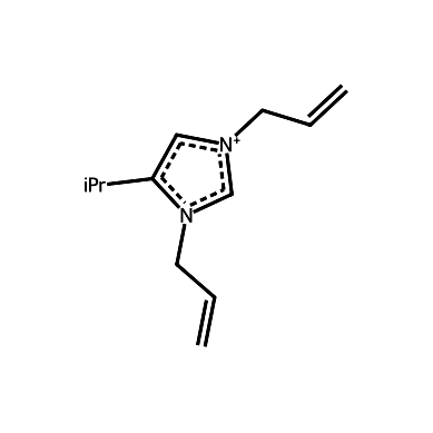 C=CCn1c[n+](CC=C)cc1C(C)C